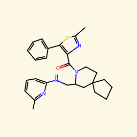 Cc1cccc(NCC2CC3(CCCC3)CCN2C(=O)c2nc(C)sc2-c2ccccc2)n1